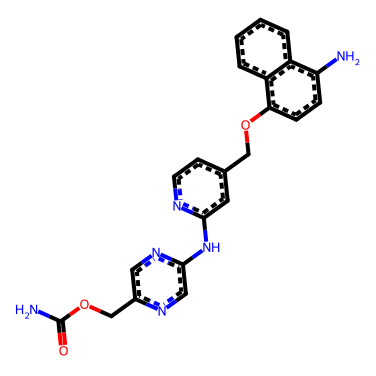 NC(=O)OCc1cnc(Nc2cc(COc3ccc(N)c4ccccc34)ccn2)cn1